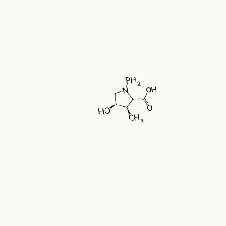 C[C@@H]1[C@@H](C(=O)O)N(P)C[C@@H]1O